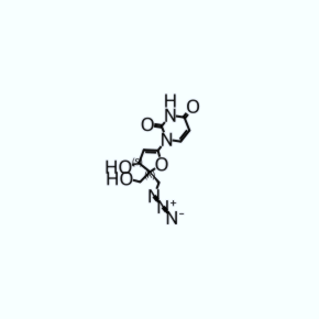 [N-]=[N+]=NC[C@]1(CO)OC(n2ccc(=O)[nH]c2=O)=C[C@@H]1O